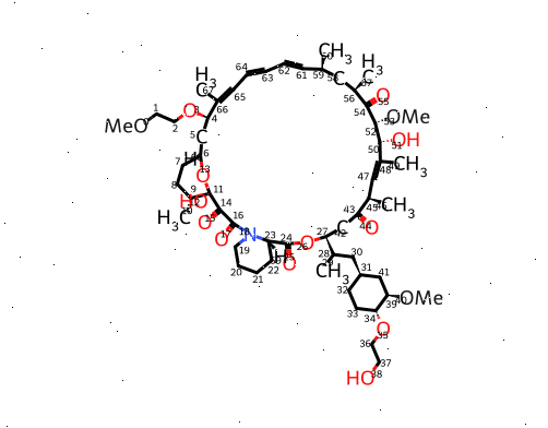 COCCO[C@@H]1C[C@@H]2CC[C@@H](C)[C@@](O)(O2)C(=O)C(=O)N2CCCC[C@H]2C(=O)O[C@H](C(C)C[C@@H]2CC[C@@H](OCCO)[C@H](OC)C2)CC(=O)[C@H](C)/C=C(\C)[C@@H](O)[C@@H](OC)C(=O)[C@H](C)C[C@H](C)/C=C/C=C/C=C/1C